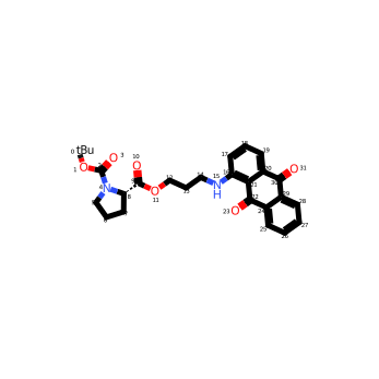 CC(C)(C)OC(=O)N1CCC[C@H]1C(=O)OCCCNc1cccc2c1C(=O)c1ccccc1C2=O